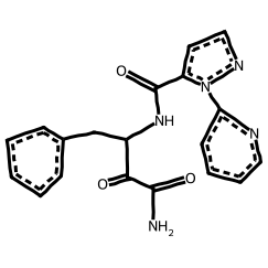 NC(=O)C(=O)C(Cc1ccccc1)NC(=O)c1ccnn1-c1ccccn1